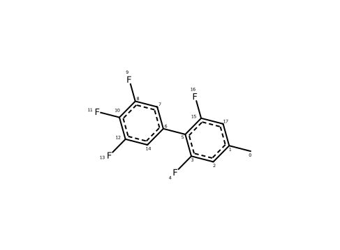 Cc1cc(F)c(-c2cc(F)c(F)c(F)c2)c(F)c1